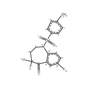 Cc1ccc(S(=O)(=O)N2CCC(F)(F)C(=O)c3cc(F)ccc32)cc1